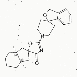 C[C@@]12CCCC[C@]1(C)CC1(C2)OC(N2CCC3(CC2)OCc2ccccc23)=NC1=O